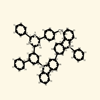 N#Cc1ccc(-c2nc(-c3ccccc3)nc(-c3cc(-c4ccccc4)cc(-n4c5ccccc5c5ccc(-c6ccc7c8ccccc8n(-c8ccccc8)c7c6)cc54)c3)n2)cc1